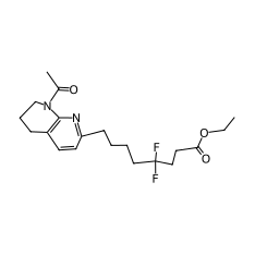 CCOC(=O)CCC(F)(F)CCCCc1ccc2c(n1)N(C(C)=O)CCC2